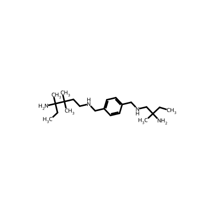 CCC(C)(N)CNCc1ccc(CNCCC(C)(C)C(C)(N)CC)cc1